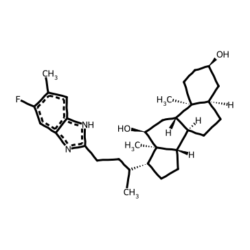 Cc1cc2[nH]c(CCC(C)[C@H]3CC[C@H]4[C@@H]5CC[C@@H]6C[C@H](O)CC[C@]6(C)[C@H]5C[C@H](O)[C@]34C)nc2cc1F